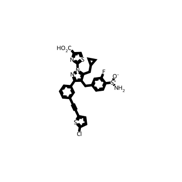 N[S+]([O-])c1ccc(Cc2c(-c3cccc(C#Cc4ccc(Cl)s4)c3)nn(-c3nc(C(=O)O)cs3)c2CC2CC2)cc1F